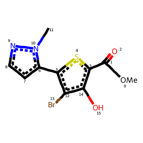 COC(=O)c1sc(-c2ccnn2C)c(Br)c1O